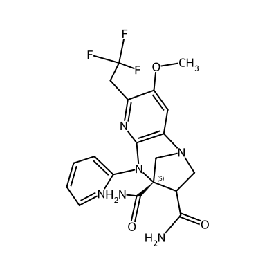 COc1cc2c(nc1CC(F)(F)F)N(c1ccccn1)[C@]1(C(N)=O)CN2CC1C(N)=O